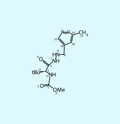 COC(=O)N[C@H](C(=O)NNCc1cccc(C)c1)C(C)(C)C